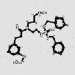 CCCCCCCCCCOc1cccc(CCC(=O)N(CCCOC)CCOP(=O)(OCc2ccccc2)OCc2ccccc2)c1